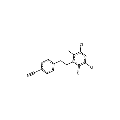 Cc1c(Cl)cc(Cl)c(=O)n1CCc1ccc(C#N)cc1